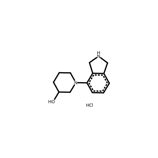 Cl.OC1CCCN(c2cccc3c2CNC3)C1